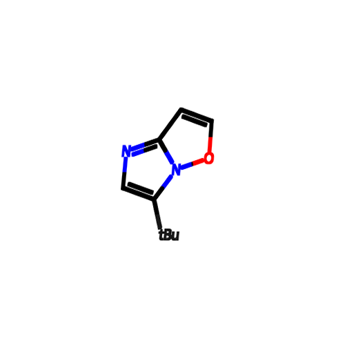 CC(C)(C)c1cnc2ccon12